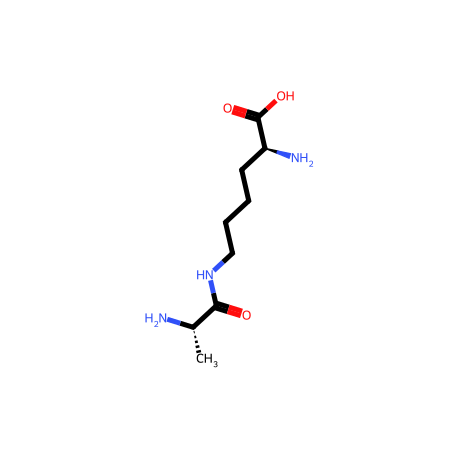 C[C@H](N)C(=O)NCCCC[C@H](N)C(=O)O